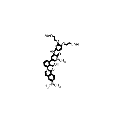 COCCOc1ccc(Nc2cc(-c3cccc(-n4ccc5cc(N(C)C)ccc5c4=O)c3CO)cn(C)c2=O)nc1OCCOC